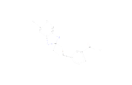 COC(=O)c1cccc(CSC2(CC(=O)O)Nc3ccc([N+](=O)[O-])cc3N2)c1